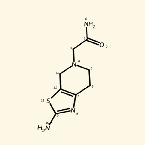 NC(=O)CN1CCc2nc(N)sc2C1